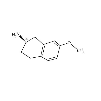 COc1ccc2c(c1)C[C@H](N)CC2